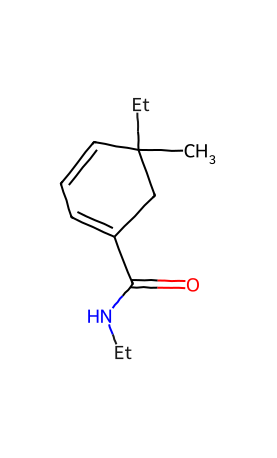 CCNC(=O)C1=CC=CC(C)(CC)C1